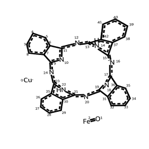 [Cu].[O]=[Fe].c1ccc2c(c1)-c1nc-2nc2[nH]c(nc3nc(nc4[nH]c(n1)c1ccccc41)-c1ccccc1-3)c1ccccc21